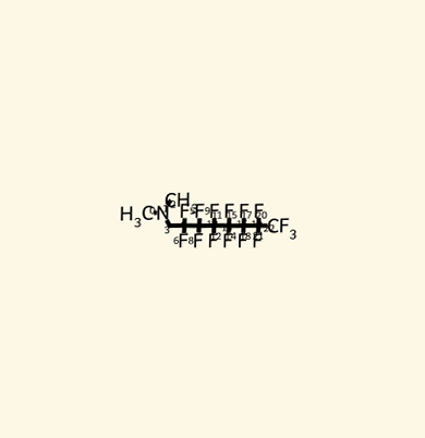 CN(C)CC(F)(F)C(F)(F)C(F)(F)C(F)(F)C(F)(F)C(F)(F)C(F)(F)F